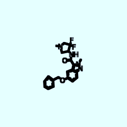 CN1CC(NC(=O)c2c3cc(OCc4ccccc4)ccc3nn2C)C(F)(F)C1